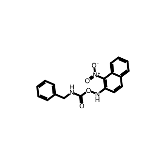 O=C(NCc1ccccc1)ONc1ccc2ccccc2c1[N+](=O)[O-]